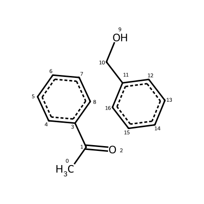 CC(=O)c1ccccc1.OCc1ccccc1